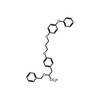 O=C(O)[C@H](Cc1ccc(OCCCOc2ccc(Oc3ccccc3)cc2)cc1)OCc1ccccc1